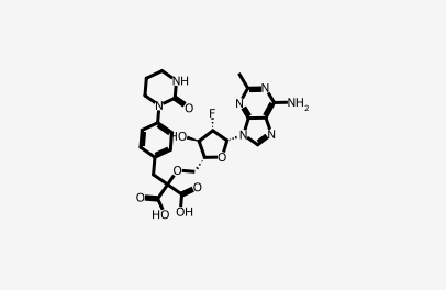 Cc1nc(N)c2ncn([C@@H]3O[C@H](COC(Cc4ccc(N5CCCNC5=O)cc4)(C(=O)O)C(=O)O)[C@@H](O)[C@@H]3F)c2n1